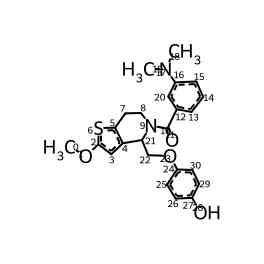 COc1cc2c(s1)CCN(C(=O)c1cccc(N(C)C)c1)C2COc1ccc(O)cc1